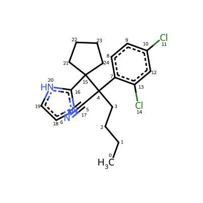 CCCCC(C#N)(c1ccc(Cl)cc1Cl)C1(c2ncc[nH]2)CCCC1